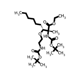 CCCCCC[C@@H](OCCNC(=O)OC(C)(C)C)[C@@](C)(NC(=O)OC(C)(C)C)C(=O)OCC